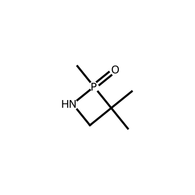 CC1(C)CNP1(C)=O